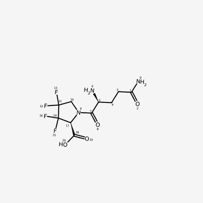 NC(=O)CC[C@H](N)C(=O)N1CC(F)(F)C(F)(F)[C@@H]1C(=O)O